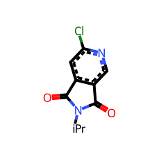 CC(C)N1C(=O)c2cnc(Cl)cc2C1=O